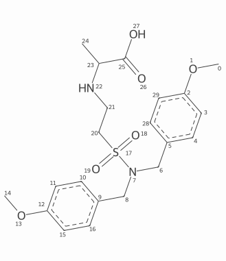 COc1ccc(CN(Cc2ccc(OC)cc2)S(=O)(=O)CCNC(C)C(=O)O)cc1